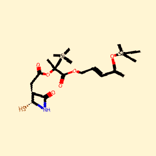 CC(C=CCOC(=O)C(C)(OC(=O)C[C@H]1C(=O)N[C@@H]1S)[Si](C)(C)C)O[Si](C)(C)C